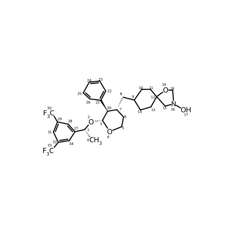 C[C@@H](O[C@H]1OCC[C@@H](CC2CCC3(CC2)CN(O)CO3)[C@@H]1c1ccccc1)c1cc(C(F)(F)F)cc(C(F)(F)F)c1